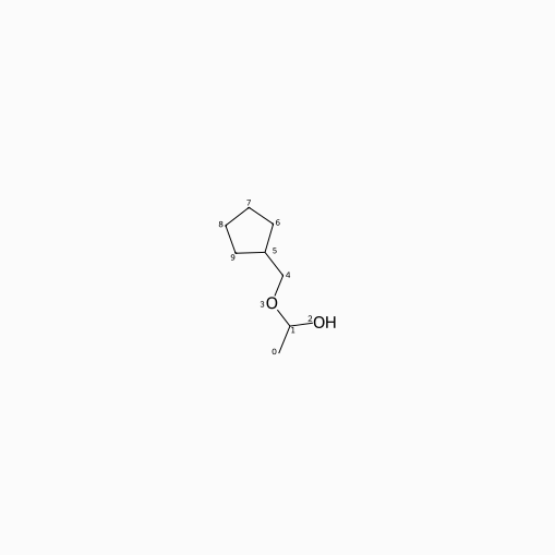 CC(O)OCC1CCCC1